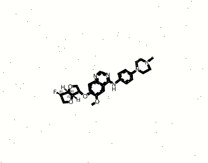 COc1cc2c(Nc3ccc(N4CCN(C)CC4)cc3)ncnc2cc1OC1CO[C@H]2[C@H](F)CO[C@@H]12